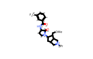 COCC1C2CN(C(C)C)CC2CC1N1CCC(NC(=O)c2cccc(C(F)(F)F)c2)C1=O